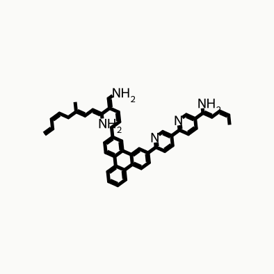 C=C/C=C\C/C(C)=C/C=C(N)/C(/C=C\Cc1ccc2c3ccccc3c3ccc(-c4ccc(-c5ccc(/C(N)=C/C=C\C)cn5)cn4)cc3c2c1)=C/N